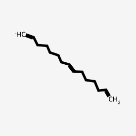 [CH]=CCCCCCC=CCCCCC=C